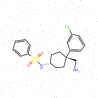 NC[C@]1(c2cccc(Cl)c2)CC[C@@H](NS(=O)(=O)c2ccccc2)CC1